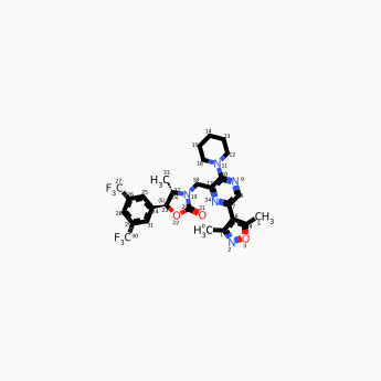 Cc1noc(C)c1-c1cnc(N2CCCCC2)c(CN2C(=O)O[C@@H](c3cc(C(F)(F)F)cc(C(F)(F)F)c3)[C@@H]2C)n1